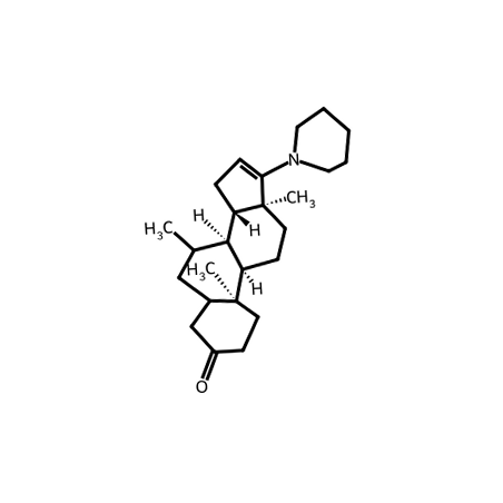 CC1CC2CC(=O)CC[C@]2(C)[C@@H]2CC[C@]3(C)C(N4CCCCC4)=CC[C@H]3[C@H]12